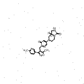 Cc1ccc(-c2noc(C)c2Cn2ncc(N3CCN4C(=O)NC[C@H]4C3)cc2=O)cn1